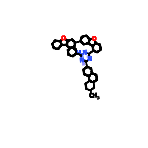 CC1C=Cc2c(ccc3cc(C(=N/Cc4ccccc4)/N=C(\N)c4cccc5oc6ccc(-c7ccc8c(c7)oc7ccccc78)cc6c45)ccc23)C1